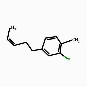 C/C=C\CCc1ccc(C)c(F)c1